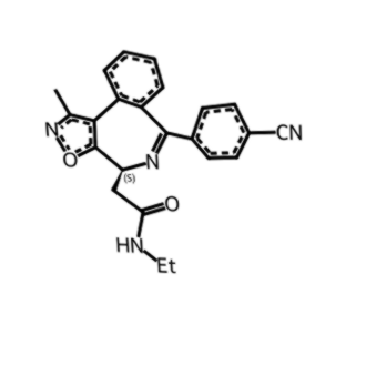 CCNC(=O)C[C@@H]1N=C(c2ccc(C#N)cc2)c2ccccc2-c2c(C)noc21